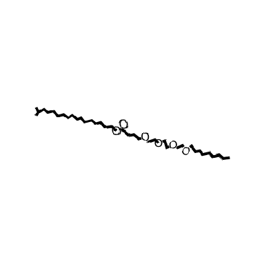 CCCCCCCCCOCCOCCOCCOCCCC(=O)OCCCCCCCCCCCCCCCC(C)C